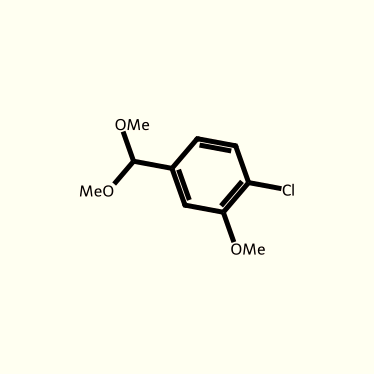 COc1cc(C(OC)OC)ccc1Cl